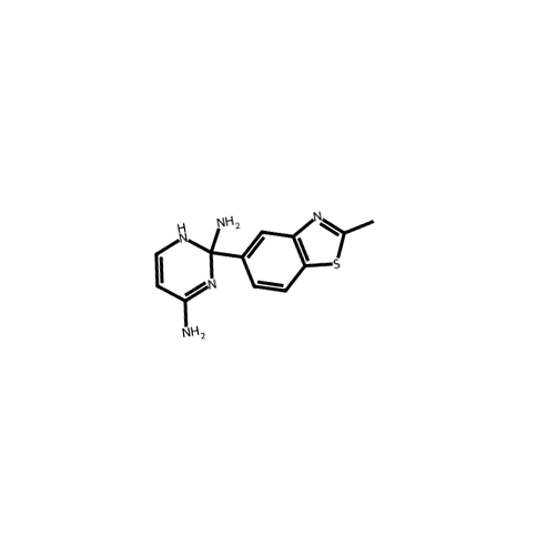 Cc1nc2cc(C3(N)N=C(N)C=CN3)ccc2s1